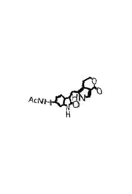 CC(=O)Nc1ccc2c(c1)NC(=O)C2=Cc1[nH]cc2c1CCOC2=O